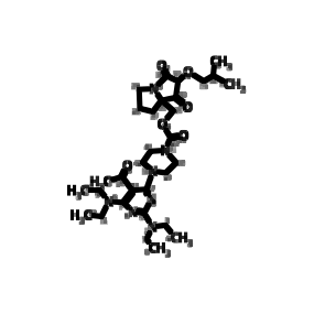 CCN(CC)c1nc(N(CC)CC)c(C(C)=O)c(N2CCN(C(=O)OCC34CCCN3C(=O)C(OCC(C)C)C4=O)CC2)n1